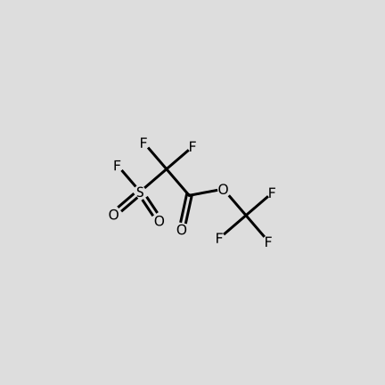 O=C(OC(F)(F)F)C(F)(F)S(=O)(=O)F